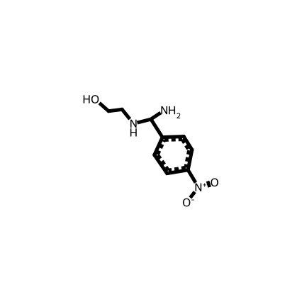 NC(NCCO)c1ccc([N+](=O)[O-])cc1